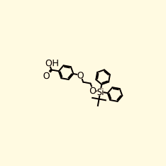 CC(C)(C)[Si](OCCOc1ccc(C(=O)O)cc1)(c1ccccc1)c1ccccc1